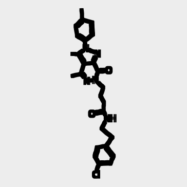 Cc1ccc(-n2nc3c(=O)n(CCCC(=O)NCCc4ccc(Cl)cc4)nc(C)c3c2C)cc1